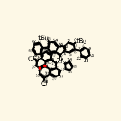 CC(C)(C)c1cc2c(cc1-c1ccccc1)[CH]([Zr](=[C](c1cccc3c(Cl)cccc13)c1cccc3c(Cl)cccc13)[CH]1C=CC=C1)c1cc(-c3ccccc3)c(C(C)(C)C)cc1-2